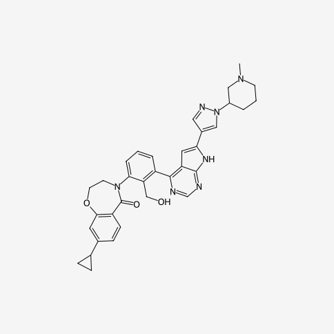 CN1CCCC(n2cc(-c3cc4c(-c5cccc(N6CCOc7cc(C8CC8)ccc7C6=O)c5CO)ncnc4[nH]3)cn2)C1